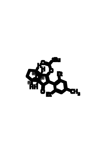 CCc1cc(C)cc(CC)c1C1=C(OC(=O)C(C)(C)C)[C@H]2[C@@H](C1=O)[C@@H]1CC[C@H]2O1